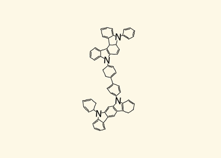 C1=CCC(n2c3ccccc3c3cc4c5c(n(-c6ccc(C7=CC=C(n8c9c(c%10ccccc%108)C8c%10ccccc%10N(c%10ccccc%10)C8C=C9)CC7)cc6)c4cc32)C=CCC5)C=C1